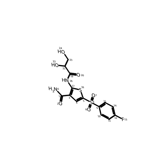 NC(=O)c1cc(S(=O)(=O)c2ccc(F)cc2)sc1NC(=O)C(O)CO